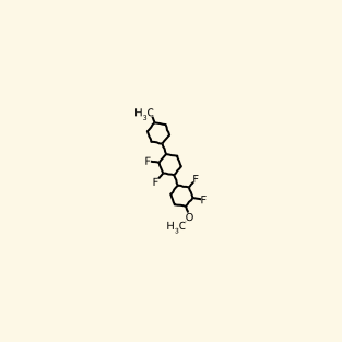 COC1CCC(C2CCC(C3CCC(C)CC3)C(F)C2F)C(F)C1F